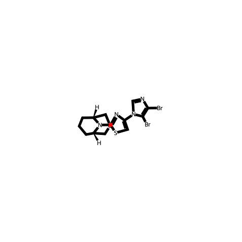 Brc1ncn(-c2csc(N3[C@@H]4CCC[C@H]3COC4)n2)c1Br